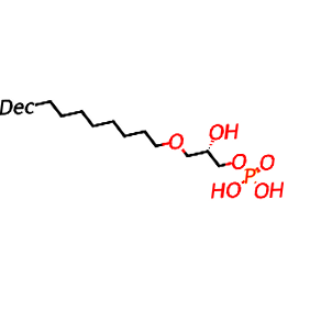 CCCCCCCCCCCCCCCCCCOC[C@H](O)COP(=O)(O)O